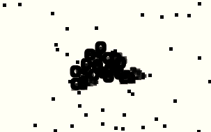 O=S(=O)([O-])[O-].O=S(=O)([O-])[O-].[Ca+2].[Ca+2].[Ca+2].[O]=[Al][O-].[O]=[Al][O-]